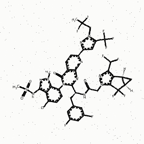 Cn1nc(NS(C)(=O)=O)c2c(Cl)ccc(-n3c([C@H](Cc4cc(F)cc(F)c4)NC(=O)Cn4nc(C(F)F)c5c4C(F)(F)[C@@H]4C[C@H]54)nc4nc(-c5cc(C(F)(F)F)n(CC(C)(F)F)n5)ccc4c3=O)c21